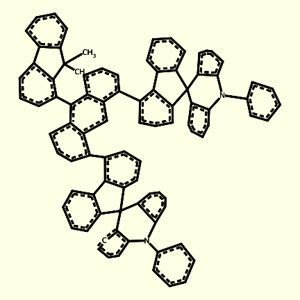 CC1(C)c2ccccc2-c2cccc(-c3c4cccc(-c5cccc6c5-c5ccccc5C65c6ccccc6N(c6ccccc6)c6ccccc65)c4cc4c(-c5cccc6c5-c5ccccc5C65c6ccccc6N(c6ccccc6)c6ccccc65)cccc34)c21